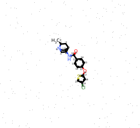 CC1CC2CCN1CC2NC(=O)c1ccc(Oc2cc(Cl)cs2)cc1